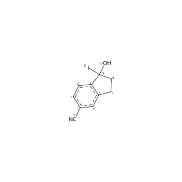 N#Cc1ccc2c(c1)CCC2(O)I